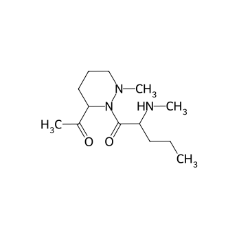 CCCC(NC)C(=O)N1C(C(C)=O)CCCN1C